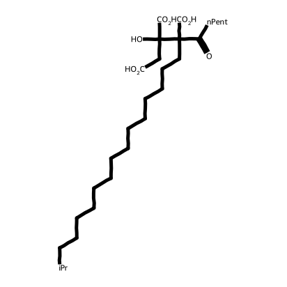 CCCCCC(=O)C(CCCCCCCCCCCCCCC(C)C)(C(=O)O)C(O)(CC(=O)O)C(=O)O